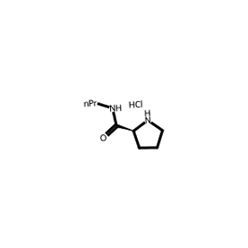 CCCNC(=O)[C@@H]1CCCN1.Cl